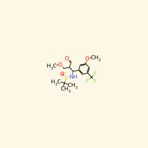 COCC(C=O)[C@H](N[S@+]([O-])C(C)(C)C)c1cc(OC)cc(C(F)(F)F)c1